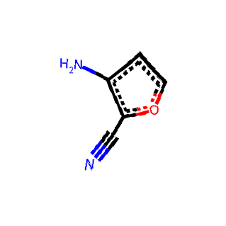 N#Cc1occc1N